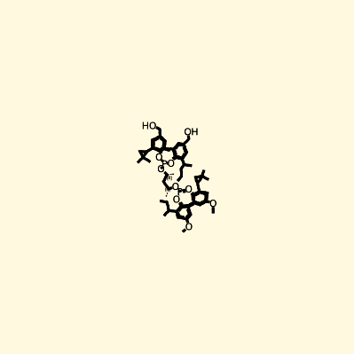 CCCC(C)c1cc(CO)cc2c1op(O[C@H](C)C[C@@H](C)Op1oc3c(C(C)CC)cc(OC)cc3c3cc(OC)cc(C4CC4(C)C)c3o1)oc1c(C3CC3(C)C)cc(CO)cc12